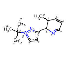 CC1C=CC=NC1c1ccn(C(C)(C)C)n1